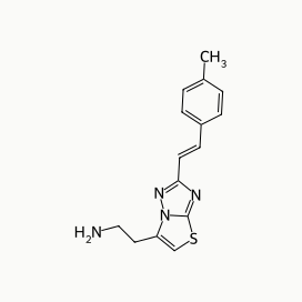 Cc1ccc(C=Cc2nc3scc(CCN)n3n2)cc1